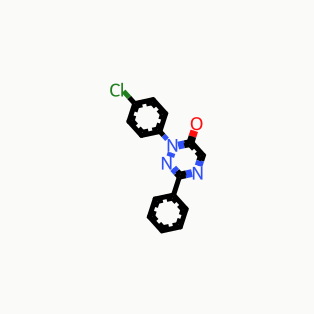 O=c1cnc(-c2ccccc2)nn1-c1ccc(Cl)cc1